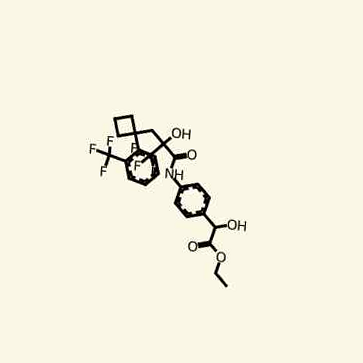 CCOC(=O)C(O)c1ccc(NC(=O)C(O)(CC2(c3ccccc3C(F)(F)F)CCC2)C(F)(F)F)cc1